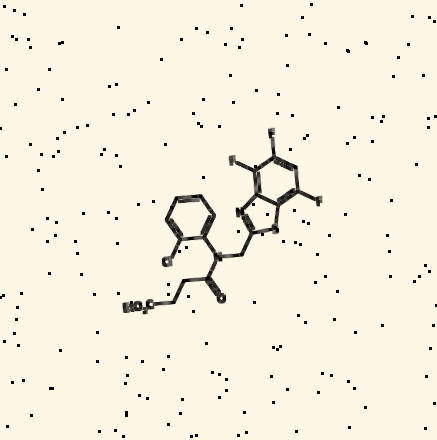 CCOC(=O)CCC(=O)N(Cc1nc2c(F)c(F)cc(F)c2s1)c1ccccc1Cl